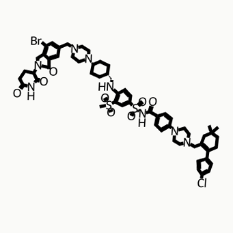 CC1(C)CCC(c2ccc(Cl)cc2)=C(CN2CCN(c3ccc(C(=O)NS(=O)(=O)c4ccc(NC[C@H]5CC[C@H](N6CCN(Cc7cc(Br)c8c(c7)C(=O)N(C7CCC(=O)NC7=O)C8)CC6)CC5)c(S(C)(=O)=O)c4)cc3)CC2)C1